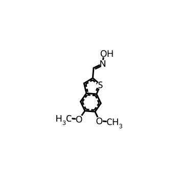 COc1cc2cc(/C=N/O)sc2cc1OC